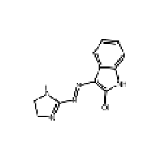 Oc1[nH]c2ccccc2c1N=NC1=NCCN1